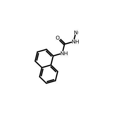 [N]NC(=O)Nc1cccc2ccccc12